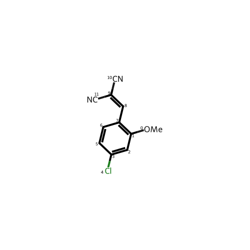 COc1cc(Cl)ccc1C=C(C#N)C#N